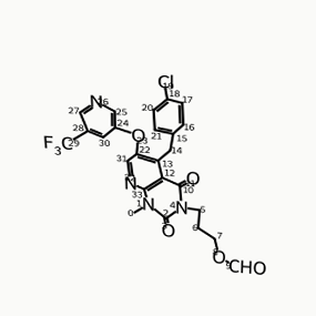 Cn1c(=O)n(CCCOC=O)c(=O)c2c(Cc3ccc(Cl)cc3)c(Oc3cncc(C(F)(F)F)c3)cnc21